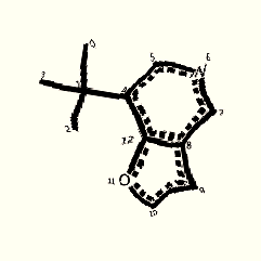 CC(C)(C)c1cncc2ccoc12